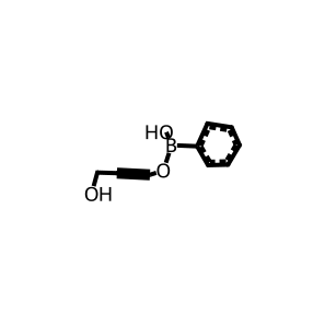 OCC#COB(O)c1ccccc1